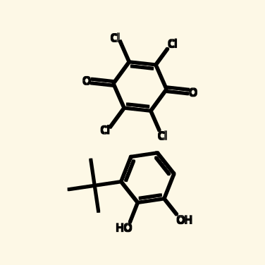 CC(C)(C)c1cccc(O)c1O.O=C1C(Cl)=C(Cl)C(=O)C(Cl)=C1Cl